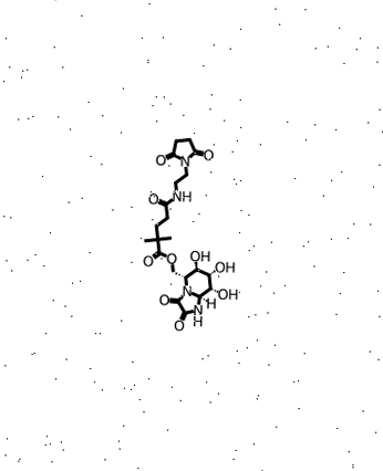 CC(C)(CCC(=O)NCCN1C(=O)CCC1=O)C(=O)OC[C@@H]1[C@@H](O)[C@H](O)[C@H](O)[C@H]2NC(=O)C(=O)N12